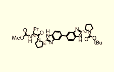 COC(=O)N[C@H](C(=O)N1CCC[C@H]1c1nc2cc(-c3ccc4[nH]c([C@@H]5CCCN5C(=O)OC(C)(C)C)nc4c3)ccc2[nH]1)C(C)C